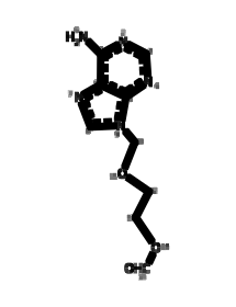 Nc1ncnc2c1ncn2COCCOC=O